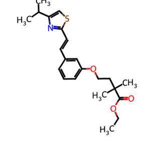 CCOC(=O)C(C)(C)CCOc1cccc(C=Cc2nc(C(C)C)cs2)c1